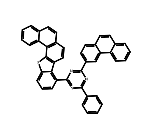 c1ccc(-c2nc(-c3ccc4ccc5ccccc5c4c3)nc(-c3cccc4sc5c(ccc6ccc7ccccc7c65)c34)n2)cc1